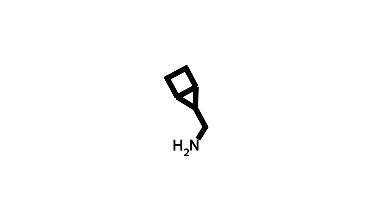 NCC1C2CCC12